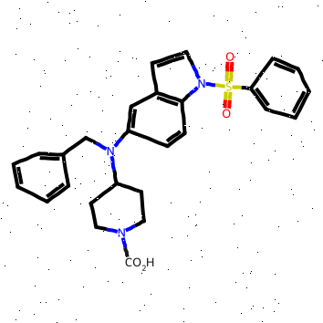 O=C(O)N1CCC(N(Cc2ccccc2)c2ccc3c(ccn3S(=O)(=O)c3ccccc3)c2)CC1